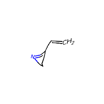 C=CC1=NC1